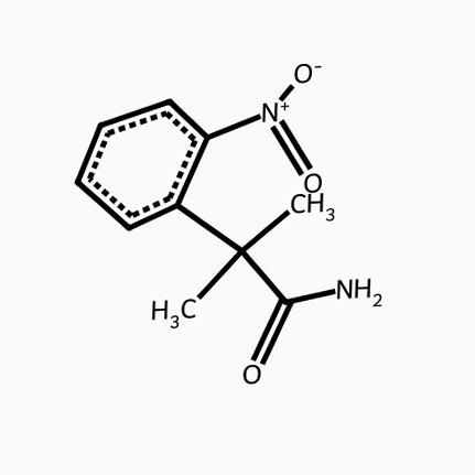 CC(C)(C(N)=O)c1ccccc1[N+](=O)[O-]